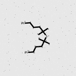 CC(C)CCCC(C)(C)SC(C)(C)CCCC(C)C